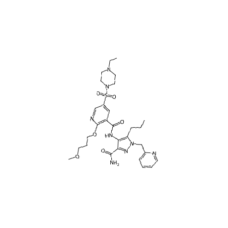 CCCc1c(NC(=O)c2cc(S(=O)(=O)N3CCN(CC)CC3)cnc2OCCCOC)c(C(N)=O)nn1Cc1ccccn1